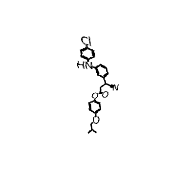 CC(C)COc1ccc(OC(=O)CC(C#N)c2cccc(Nc3ccc(Cl)cc3)c2)cc1